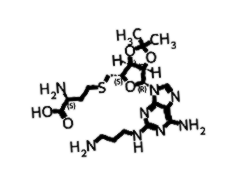 CC1(C)O[C@@H]2[C@H](O1)[C@@H](CSCC[C@H](N)C(=O)O)O[C@H]2n1cnc2c(N)nc(NCCCN)nc21